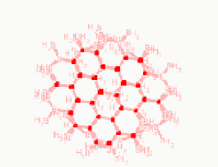 BB(B)B(B(B)B)B(B(B(B)B)B(B)B)B(B(B(B(B)B)B(B)B)B(B(B)B)B(B)B)B(B(B(B(B(B)B)B(B)B)B(B(B)B)B(B)B)B(B(B(B)B)B(B)B)B(B(B)B)B(B)B)B(B(B(B(B(B)B)B(B)B)B(B(B)B)B(B)B)B(B(B(B)B)B(B)B)B(B(B)B)B(B)B)B(B(B(B(B)B)B(B)B)B(B(B)B)B(B)B)B(B(B(B)B)B(B)B)B(B(B)B)B(B)B